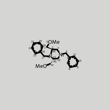 COC[C@H]1CN(Cc2ccccc2)C[C@H](COC)N1Cc1ccccc1